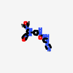 C[C@@H]1CN(c2cc(N3C4CCC3COC4)nc(-c3ccc(NC(=O)Nc4ccc(N5CCN(C)CC5)nc4)cc3)n2)C[C@H](C)O1